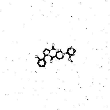 COc1ncncc1N1CCC(C(=O)N2C(c3ccccc3Cl)CC[C@H]2C(=O)O)CC1